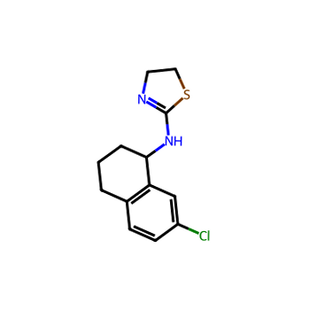 Clc1ccc2c(c1)C(NC1=NCCS1)CCC2